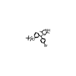 C[C@H]1CN(C(c2ccc(Br)cc2)c2cccc(O[Si](C)(C)C(C)(C)C)c2)[C@@H](C)CN1